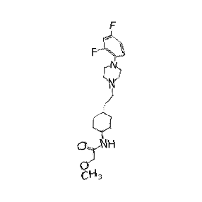 COCC(=O)N[C@H]1CC[C@H](CCN2CCN(c3ccc(F)cc3F)CC2)CC1